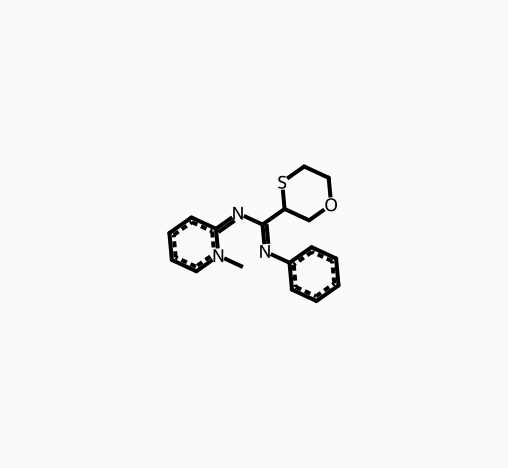 Cn1ccccc1=NC(=Nc1ccccc1)C1COCCS1